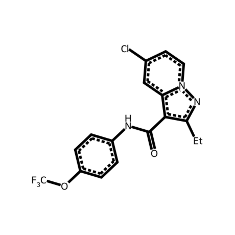 CCc1nn2ccc(Cl)cc2c1C(=O)Nc1ccc(OC(F)(F)F)cc1